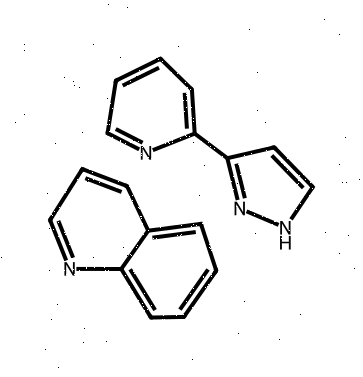 c1ccc(-c2cc[nH]n2)nc1.c1ccc2ncccc2c1